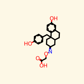 O=C(O)CON=C1CCC2(Cc3ccc(O)cc3)c3ccc(O)cc3CCC2C1